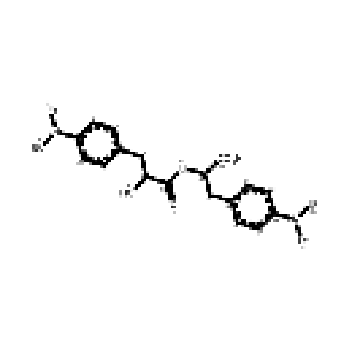 CCN(CC)c1ccc(CC(O)C(=O)OC(Cc2ccc(N(CC)CC)cc2)C(=O)O)cc1